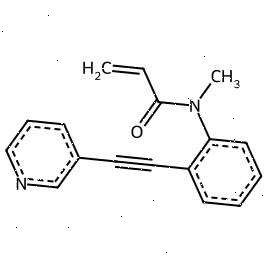 C=CC(=O)N(C)c1ccccc1C#Cc1cccnc1